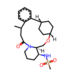 CC1CC(=O)N2CCC[C@H](NS(C)(=O)=O)[C@@H]2CO[C@H]2CC[C@H](CC2)c2ccccc21